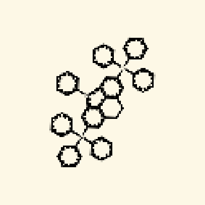 c1ccc(-n2c3cc([Si](c4ccccc4)(c4ccccc4)c4ccccc4)cc4c3c3c(cc([Si](c5ccccc5)(c5ccccc5)c5ccccc5)cc32)CC4)cc1